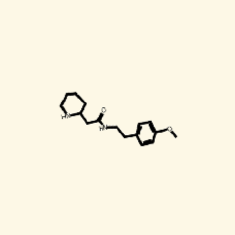 COc1ccc(CCNC(=O)CC2CCCCN2)cc1